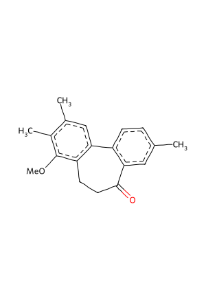 COc1c(C)c(C)cc2c1CCC(=O)c1cc(C)ccc1-2